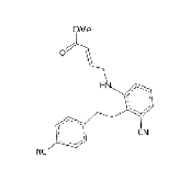 COC(=O)C=CCNc1cccc(C#N)c1CCc1ccc(C#N)cc1